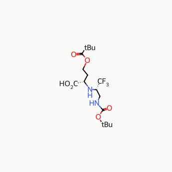 CC(C)(C)OC(=O)NC[C@H](N[C@@H](CCOC(=O)C(C)(C)C)C(=O)O)C(F)(F)F